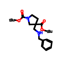 CC(C)(C)OC(=O)N1CCC(CNCc2ccccc2)(C(=O)OC(C)(C)C)C1